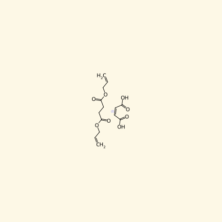 C=CCOC(=O)CCC(=O)OCC=C.O=C(O)/C=C\C(=O)O